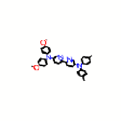 COc1ccc(N(c2ccc(OC)cc2)c2ccc(-c3ccc(N(c4ccc(C)cc4)c4ccc(C)cc4)cn3)nc2)cc1